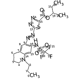 CCCN1CCCc2cc(N=Nc3nnc(C(=O)OC(C)CC)s3)c(NS(=O)(=O)C(F)(F)F)cc21